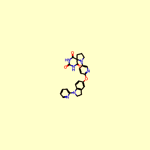 O=C1NC(=O)C2(CCCN2c2ccc(Oc3ccc4c(c3)CCN4c3ccccn3)nc2)C(=O)N1